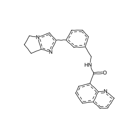 O=C(NCc1cccc(-c2cn3c(n2)CCC3)c1)c1cccc2cccnc12